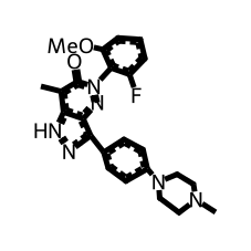 COc1cccc(F)c1-n1nc2c(-c3ccc(N4CCN(C)CC4)cc3)n[nH]c2c(C)c1=O